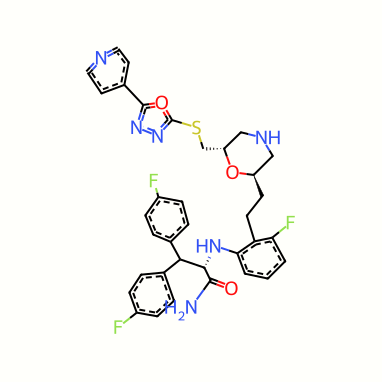 NC(=O)[C@@H](Nc1cccc(F)c1CC[C@@H]1CNC[C@@H](CSc2nnc(-c3ccncc3)o2)O1)C(c1ccc(F)cc1)c1ccc(F)cc1